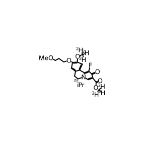 [2H]C([2H])([2H])OC(=O)c1cn2c(c(F)c1=O)-c1cc(OC([2H])([2H])[2H])c(OCCCOC)cc1C[C@H]2C(C)C